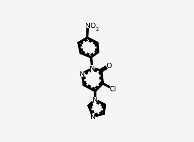 O=c1c(Cl)c(-n2ccnc2)cnn1-c1ccc([N+](=O)[O-])cc1